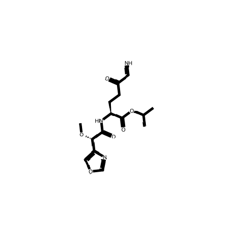 CO[C@H](C(=O)N[C@@H](CCC(=O)C=N)C(=O)OC(C)C)c1cocn1